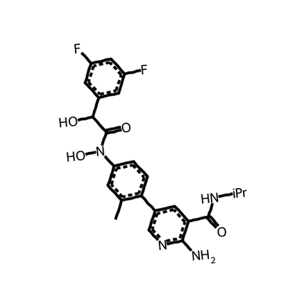 Cc1cc(N(O)C(=O)C(O)c2cc(F)cc(F)c2)ccc1-c1cnc(N)c(C(=O)NC(C)C)c1